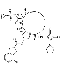 O=C1N[C@]2(C(=O)NS(=O)(=O)C3CC3)C[C@H]2/C=C\CCCCC[C@H](Nc2c(N3CCCC3)c(=O)c2=O)C(=O)N2C[C@H](OC(=O)N3Cc4cccc(F)c4C3)C[C@@H]12